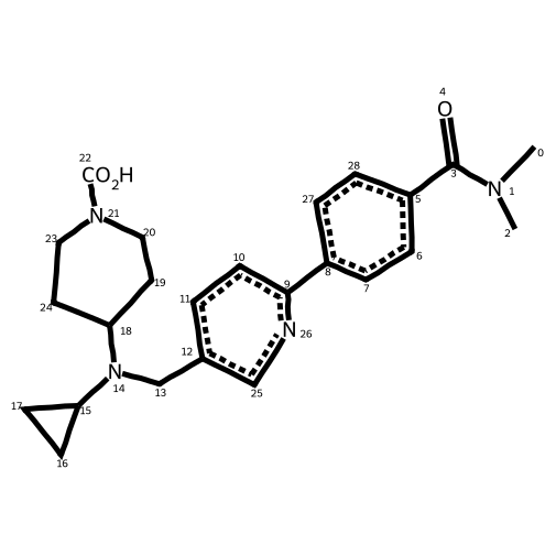 CN(C)C(=O)c1ccc(-c2ccc(CN(C3CC3)C3CCN(C(=O)O)CC3)cn2)cc1